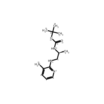 C[C@@H](CNc1ncccc1N)NC(=O)OC(C)(C)C